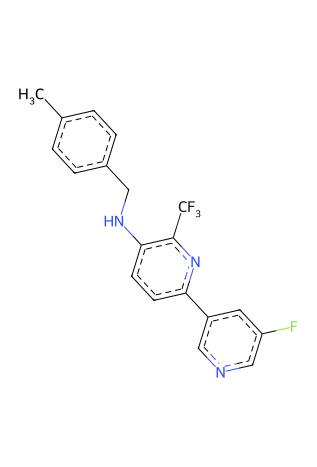 Cc1ccc(CNc2ccc(-c3cncc(F)c3)nc2C(F)(F)F)cc1